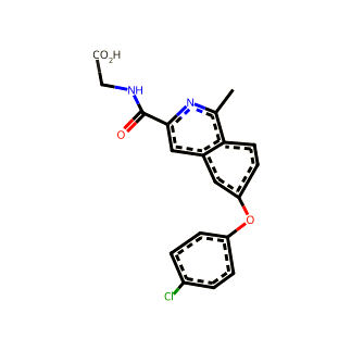 Cc1nc(C(=O)NCC(=O)O)cc2cc(Oc3ccc(Cl)cc3)ccc12